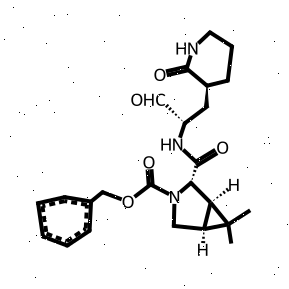 CC1(C)[C@@H]2[C@@H](C(=O)N[C@H](C=O)C[C@@H]3CCCNC3=O)N(C(=O)OCc3ccccc3)C[C@@H]21